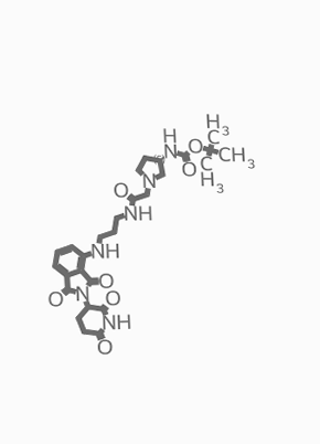 CC(C)(C)OC(=O)N[C@H]1CCN(CC(=O)NCCCNc2cccc3c2C(=O)N(C2CCC(=O)NC2=O)C3=O)C1